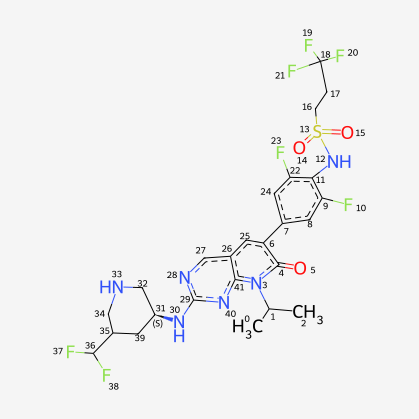 CC(C)n1c(=O)c(-c2cc(F)c(NS(=O)(=O)CCC(F)(F)F)c(F)c2)cc2cnc(N[C@@H]3CNCC(C(F)F)C3)nc21